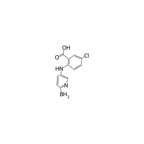 Bc1ccc(Nc2ccc(Cl)cc2C(=O)O)cn1